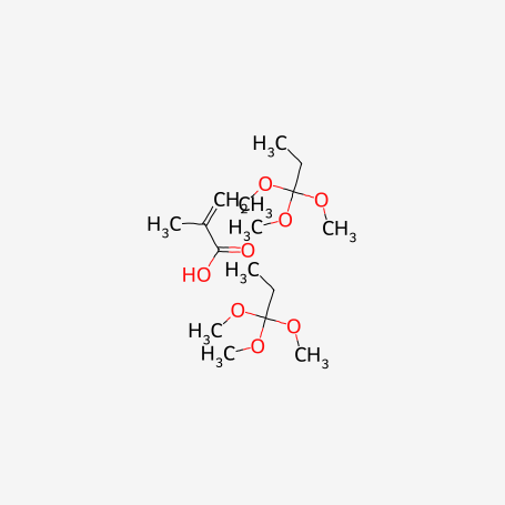 C=C(C)C(=O)O.CCC(OC)(OC)OC.CCC(OC)(OC)OC